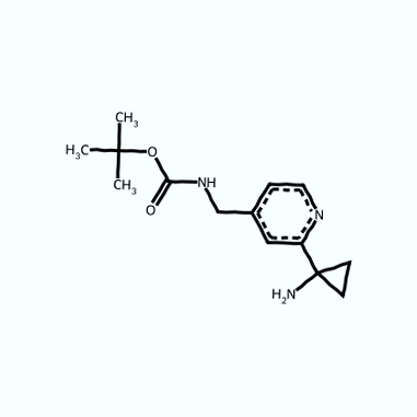 CC(C)(C)OC(=O)NCc1ccnc(C2(N)CC2)c1